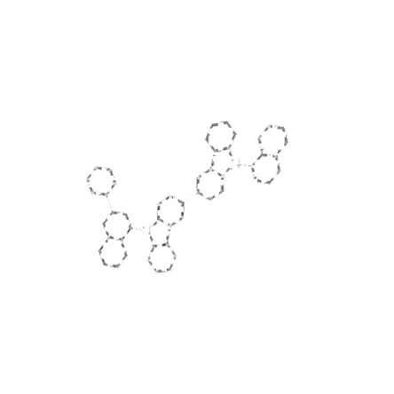 c1ccc(-c2cc(-n3c4ccccc4c4cc(-c5ccc6c(c5)c5ccccc5n6-c5cccc6ccccc56)ccc43)c3ccccc3c2)cc1